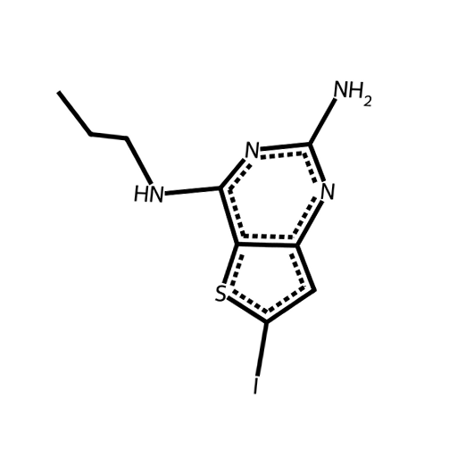 CCCNc1nc(N)nc2cc(I)sc12